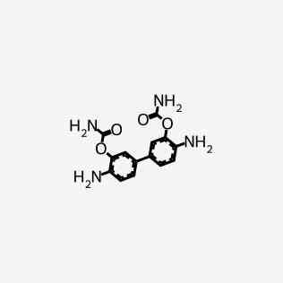 NC(=O)Oc1cc(-c2ccc(N)c(OC(N)=O)c2)ccc1N